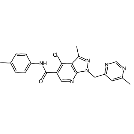 Cc1ccc(NC(=O)c2cnc3c(c(C)nn3Cc3cc(C)ncn3)c2Cl)cc1